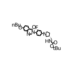 CCCCOc1ccc2c(=O)n(-c3ccc(N4CC[C@H](CNC(=O)OC(C)(C)C)C4)cc3F)cnc2c1